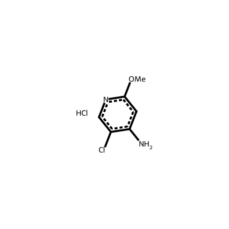 COc1cc(N)c(Cl)cn1.Cl